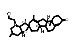 CC1=C2C[C@H]3C(CCC4=CC(=O)CCC43C)[C@@H]2CCC2(C1)O[C@@H]1CC(C)CN(CCCl)C1[C@H]2C